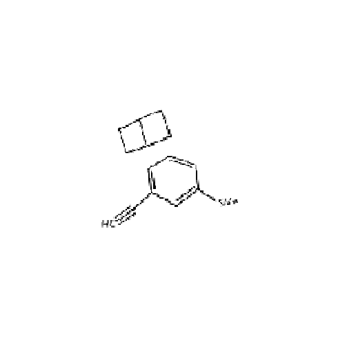 C#Cc1cccc(SC)c1.C1CC2CCC12